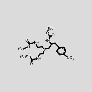 CC(C)(C)OC(=O)NCCN(CCNC(=O)OC(C)(C)C)CC(Cc1ccc([N+](=O)[O-])cc1)NC(=O)OC(C)(C)C